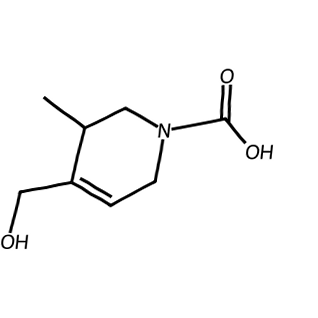 CC1CN(C(=O)O)CC=C1CO